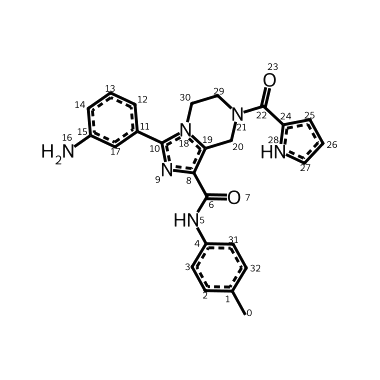 Cc1ccc(NC(=O)c2nc(-c3cccc(N)c3)n3c2CN(C(=O)c2ccc[nH]2)CC3)cc1